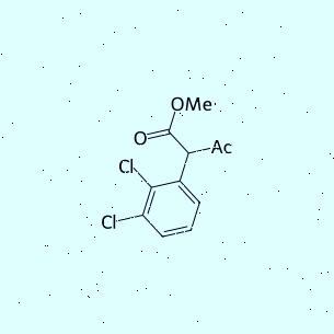 COC(=O)C(C(C)=O)c1cccc(Cl)c1Cl